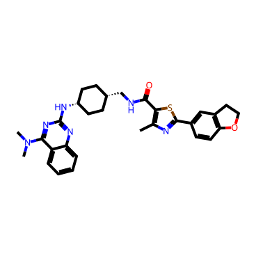 Cc1nc(-c2ccc3c(c2)CCO3)sc1C(=O)NC[C@H]1CC[C@@H](Nc2nc(N(C)C)c3ccccc3n2)CC1